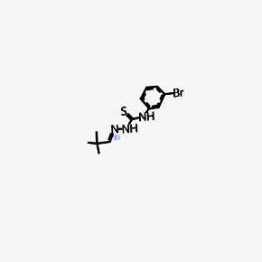 CC(C)(C)/C=N/NC(=S)Nc1cccc(Br)c1